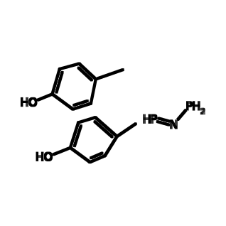 Cc1ccc(O)cc1.Cc1ccc(O)cc1.P=NP